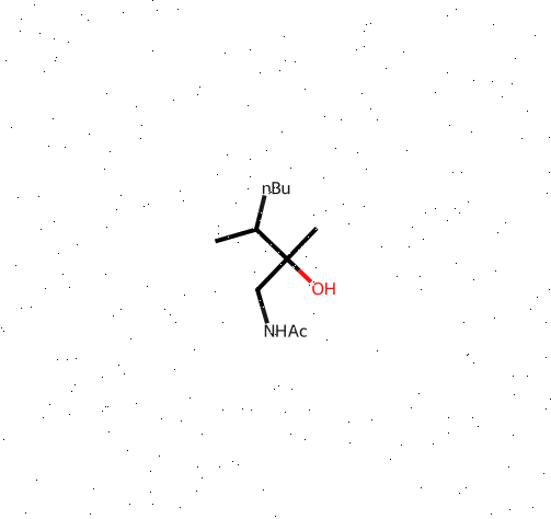 CCCCC(C)C(C)(O)CNC(C)=O